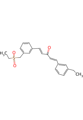 CCc1cccc(/C=C/C(=O)/C=C/c2cccc(CS(=O)(=O)CC)c2)c1